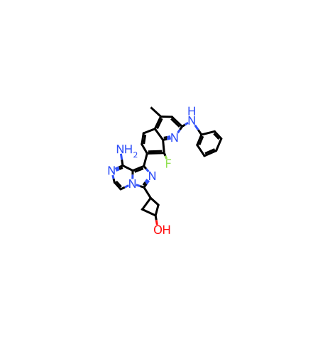 Cc1cc(Nc2ccccc2)nc2c(F)c(-c3nc(C4CC(O)C4)n4ccnc(N)c34)ccc12